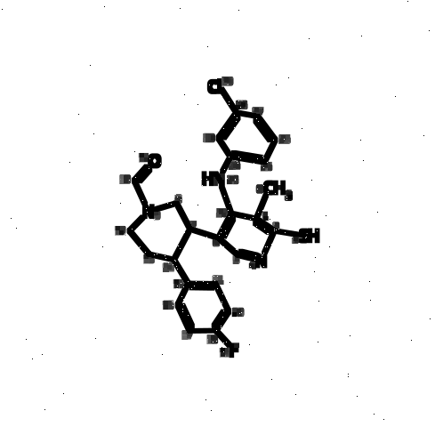 Cc1c(S)ncc(C2CN(C=O)CCC2c2ccc(F)cc2)c1Nc1cccc(Cl)c1